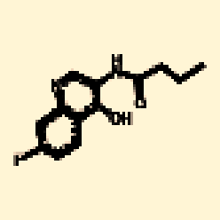 CCCC(=O)Nc1cnc2cc(F)ccc2c1O